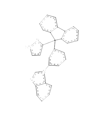 c1cc(-n2cnc3ccccc32)cc(C2(c3cc[nH]n3)c3ccccc3-c3ccccc32)c1